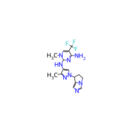 Cc1nn(C2CCn3cncc32)cc1NC1N=C(N)C(C(F)(F)F)=CN1C